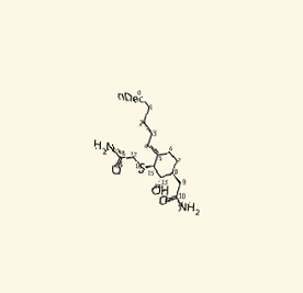 CCCCCCCCCCCCC/C=C1\CC[C@@H](CC(N)=O)[C@H](O)[C@H]1SCC(N)=O